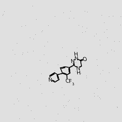 O=C1CNC(c2ccc(-c3ccncc3)c(C(F)(F)F)c2)=NN1